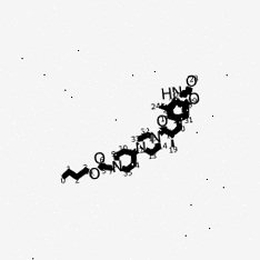 CCCCOC(=O)CN1CCC(N2CCN(C(=O)[C@H](C)Cc3cc(C)c4[nH]c(=O)oc4c3)CC2)CC1